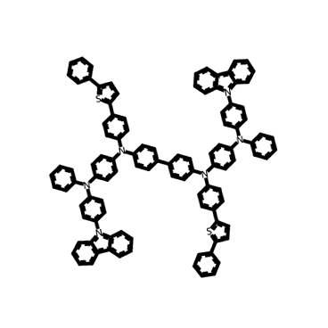 c1ccc(-c2ccc(-c3ccc(N(c4ccc(-c5ccc(N(c6ccc(-c7ccc(-c8ccccc8)s7)cc6)c6ccc(N(c7ccccc7)c7ccc(-n8c9ccccc9c9ccccc98)cc7)cc6)cc5)cc4)c4ccc(N(c5ccccc5)c5ccc(-n6c7ccccc7c7ccccc76)cc5)cc4)cc3)s2)cc1